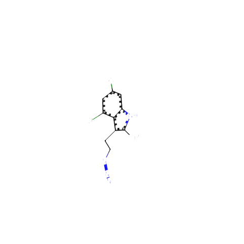 Cc1[nH]c2cc(Cl)cc(Cl)c2c1CCN=[N+]=[N-]